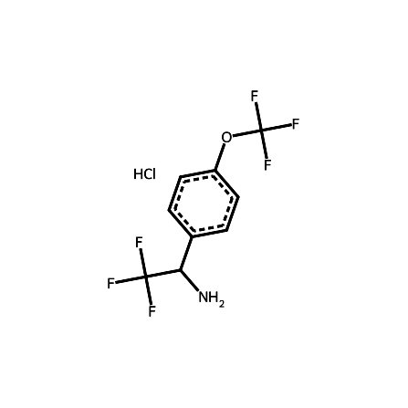 Cl.NC(c1ccc(OC(F)(F)F)cc1)C(F)(F)F